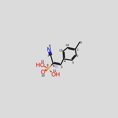 Cc1ccc(/C=C(\C#N)P(=O)(O)O)cc1